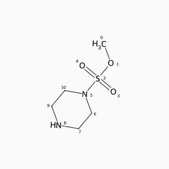 COS(=O)(=O)N1CCNCC1